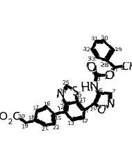 CC(OC(=O)Nc1cnoc1-c1ccc(-c2ccc(CC(=O)O)cc2)c2ncsc12)c1ccccc1